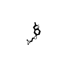 Cc1cc2cc(OCCN(C)C)ccc2s1